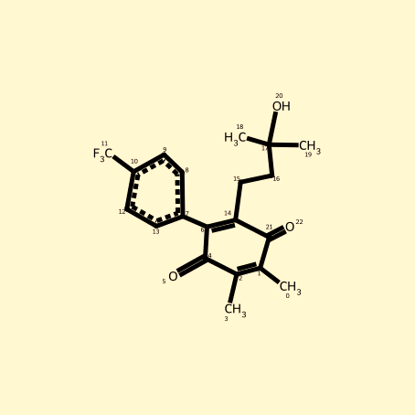 CC1=C(C)C(=O)C(c2ccc(C(F)(F)F)cc2)=C(CCC(C)(C)O)C1=O